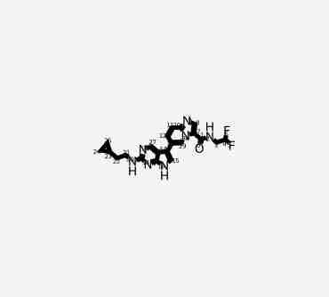 O=C(NCC(F)F)c1cnc2ccc(-c3c[nH]c4nc(NCCC5CC5)ncc34)cn12